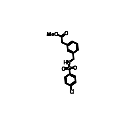 COC(=O)Cc1cccc(CNS(=O)(=O)c2ccc(Cl)cc2)c1